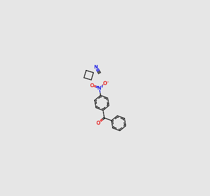 C#N.C1CCC1.O=C(c1ccccc1)c1ccc([N+](=O)[O-])cc1